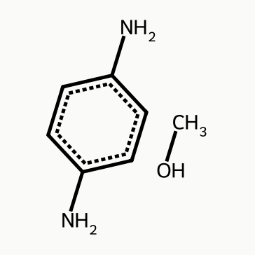 CO.Nc1ccc(N)cc1